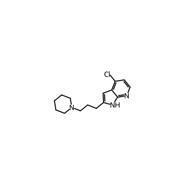 Clc1ccnc2[nH]c(CCCN3CCCCC3)cc12